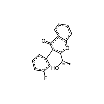 C[C@@H](O)c1oc2ccccc2c(=O)c1-c1cccc(F)c1